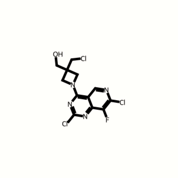 OCC1(CCl)CN(c2nc(Cl)nc3c(F)c(Cl)ncc23)C1